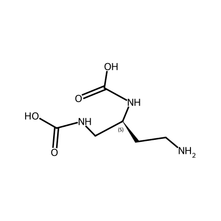 NCC[C@@H](CNC(=O)O)NC(=O)O